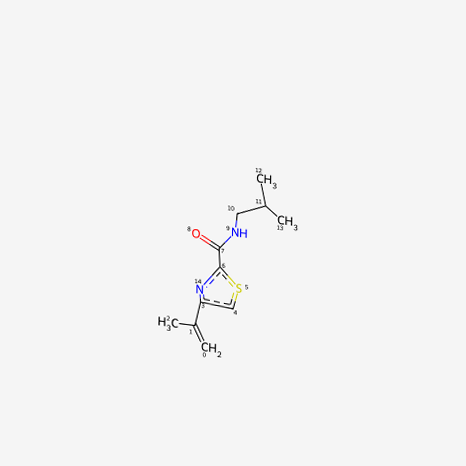 C=C(C)c1csc(C(=O)NCC(C)C)n1